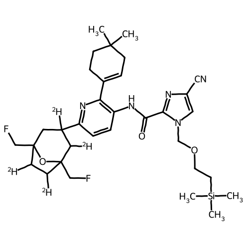 [2H]C1C([2H])C2(CF)OC1(CF)CC([2H])(c1ccc(NC(=O)c3nc(C#N)cn3COCC[Si](C)(C)C)c(C3=CCC(C)(C)CC3)n1)C2[2H]